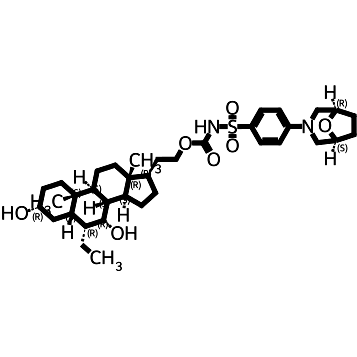 CC[C@H]1[C@@H](O)[C@@H]2[C@H](CC[C@]3(C)[C@@H](CCOC(=O)NS(=O)(=O)c4ccc(N5C[C@H]6CC[C@@H](C5)O6)cc4)CC[C@@H]23)[C@@]2(C)CC[C@@H](O)C[C@@H]12